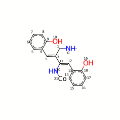 [NH]CC(=Cc1ccccc1O)C(=Cc1ccccc1O)[NH][Co]